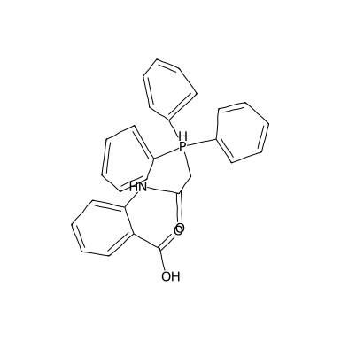 O=C(C[PH](c1ccccc1)(c1ccccc1)c1ccccc1)Nc1ccccc1C(=O)O